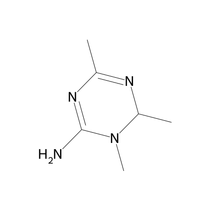 CC1=NC(C)N(C)C(N)=N1